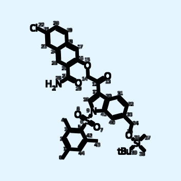 Cc1cc(C)c(S(=O)(=O)n2cc(C(=O)COc3cc4ccc(Cl)cc4cc3C(N)=O)c3ccc(CO[Si](C)(C)C(C)(C)C)cc32)c(C)c1